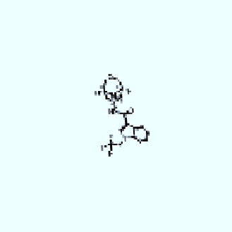 CN1[C@@H]2COC[C@H]1C[C@@H](NC(=O)c1cn(CC(F)(F)F)c3ncccc13)C2